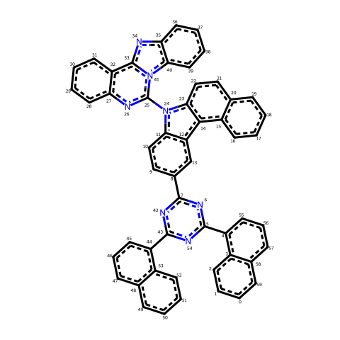 c1ccc2c(-c3nc(-c4ccc5c(c4)c4c6ccccc6ccc4n5-c4nc5ccccc5c5nc6ccccc6n45)nc(-c4cccc5ccccc45)n3)cccc2c1